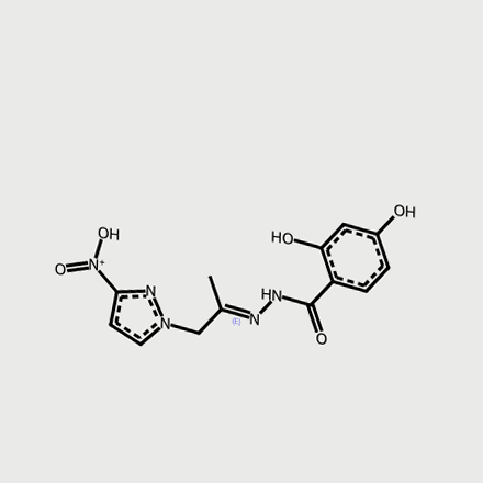 C/C(Cn1ccc([N+](=O)O)n1)=N\NC(=O)c1ccc(O)cc1O